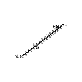 CCCCCCCCCCCCCCCCCCCC(=O)NCCCCCCCCCCCCCCCC(O)CCO